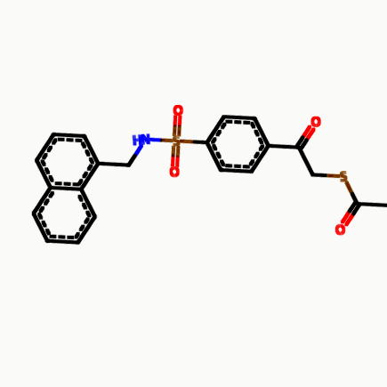 CC(=O)SCC(=O)c1ccc(S(=O)(=O)NCc2cccc3ccccc23)cc1